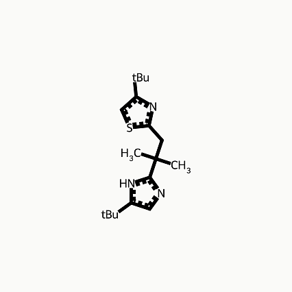 CC(C)(C)c1csc(CC(C)(C)c2ncc(C(C)(C)C)[nH]2)n1